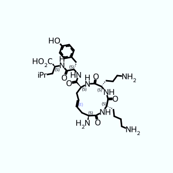 CC(C)C[C@H](NC(=O)[C@H](Cc1ccc(O)cc1)NC(=O)[C@@H]1C/C=C/C[C@H](N)C(=O)N[C@@H](CCCCN)C(=O)N[C@@H](CCCN)C(=O)N1)C(=O)O